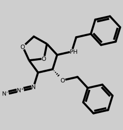 [N-]=[N+]=NC1C2OCC(O2)C(PCc2ccccc2)[C@@H]1OCc1ccccc1